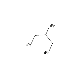 CCCC(CC(C)C)CC(C)C